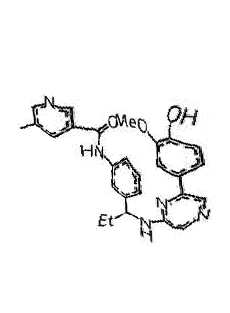 CC[C@H](Nc1cncc(-c2ccc(O)c(OC)c2)n1)c1cccc(NC(=O)c2cncc(C)c2)c1